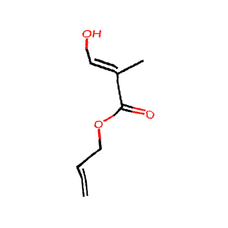 C=CCOC(=O)C(C)=CO